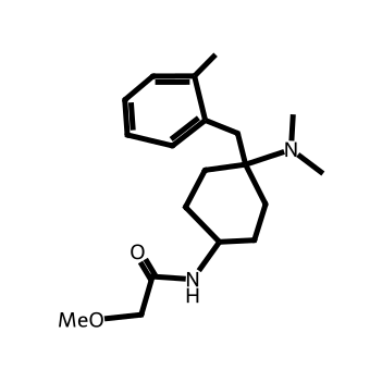 COCC(=O)NC1CCC(Cc2ccccc2C)(N(C)C)CC1